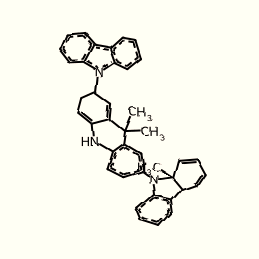 CC1(C)C2=CC(n3c4ccccc4c4ccccc43)CC=C2Nc2ccc(N3c4ccccc4C4C=CC=CC43C)cc21